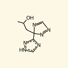 CC(O)CC1(c2nc[nH]n2)N=CN=N1